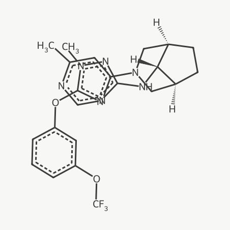 Cc1cc(N2C[C@H]3CC[C@@H](C2)[C@@H]3Nc2nc(Oc3cccc(OC(F)(F)F)c3)n(C)n2)ncn1